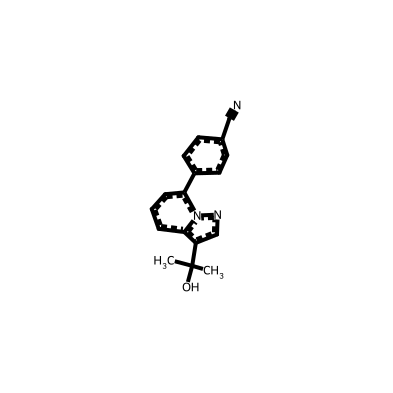 CC(C)(O)c1cnn2c(-c3ccc(C#N)cc3)cccc12